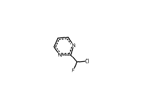 FC(Cl)c1ncccn1